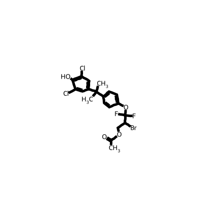 CC(=O)OCC(Br)C(F)(F)Oc1ccc(C(C)(C)c2cc(Cl)c(O)c(Cl)c2)cc1